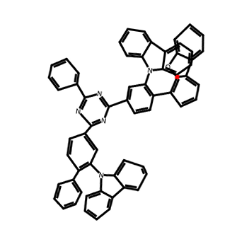 c1ccc(-c2nc(-c3ccc(-c4ccccc4)c(-n4c5ccccc5c5ccccc54)c3)nc(-c3ccc(-c4cccc5c4oc4ccccc45)c(-n4c5ccccc5c5ccccc54)c3)n2)cc1